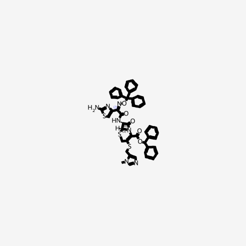 Cn1cncc1CSC1=C(C(=O)OC(c2ccccc2)c2ccccc2)N2C(=O)[C@@H](NC(=O)/C(=N\OC(c3ccccc3)(c3ccccc3)c3ccccc3)c3csc(N)n3)[C@@H]2SC1